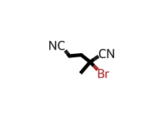 CC(Br)(C#N)CCC#N